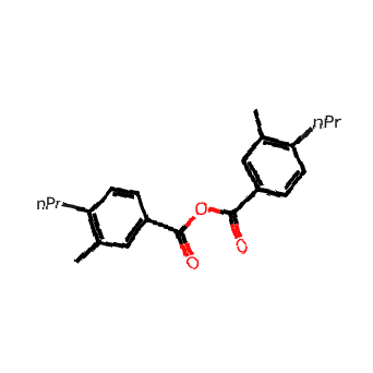 CCCc1ccc(C(=O)OC(=O)c2ccc(CCC)c(C)c2)cc1C